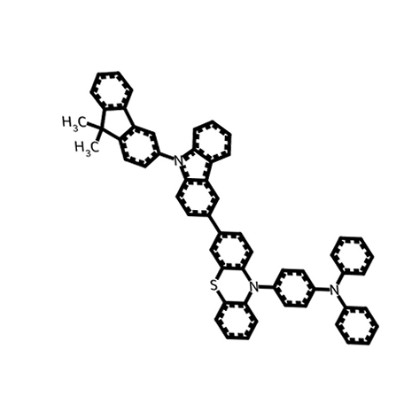 CC1(C)c2ccccc2-c2cc(-n3c4ccccc4c4cc(-c5ccc6c(c5)Sc5ccccc5N6c5ccc(N(c6ccccc6)c6ccccc6)cc5)ccc43)ccc21